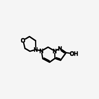 Oc1cc2n(n1)CN(N1CCOCC1)C=C2